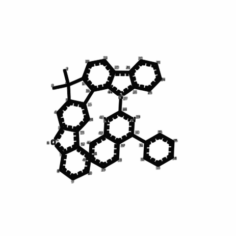 CC1(C)c2cc3oc4ccccc4c3cc2-c2c1ccc1c3ccccc3n(-c3nc(-c4ccccc4)c4ccccc4n3)c21